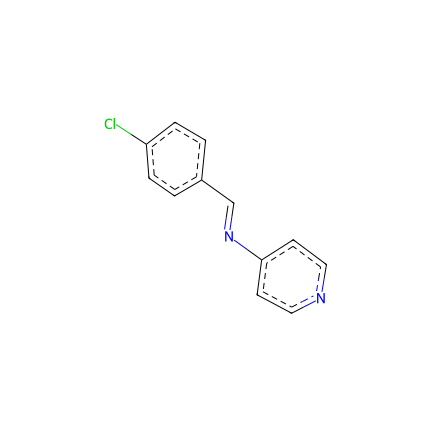 Clc1ccc(/C=N/c2ccncc2)cc1